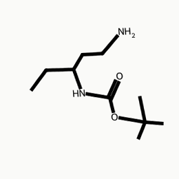 CCC(CCN)NC(=O)OC(C)(C)C